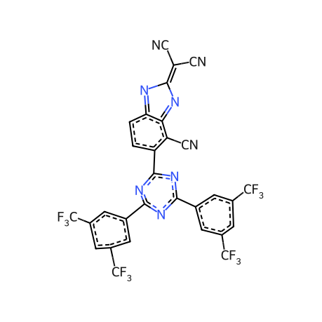 N#CC(C#N)=C1N=c2ccc(-c3nc(-c4cc(C(F)(F)F)cc(C(F)(F)F)c4)nc(-c4cc(C(F)(F)F)cc(C(F)(F)F)c4)n3)c(C#N)c2=N1